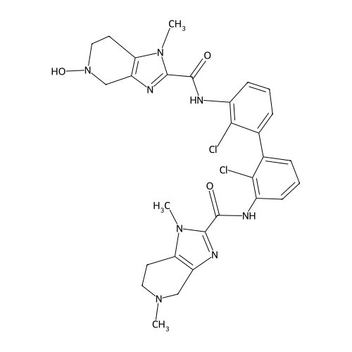 CN1CCc2c(nc(C(=O)Nc3cccc(-c4cccc(NC(=O)c5nc6c(n5C)CCN(O)C6)c4Cl)c3Cl)n2C)C1